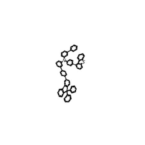 c1ccc(-c2cccc(N(c3ccc(-c4cccc5sc6ccccc6c45)cc3)c3cccc(-c4ccc(-c5ccc6c(c5)-c5ccccc5C6(c5ccccc5)c5ccccc5)cc4)c3)c2)cc1